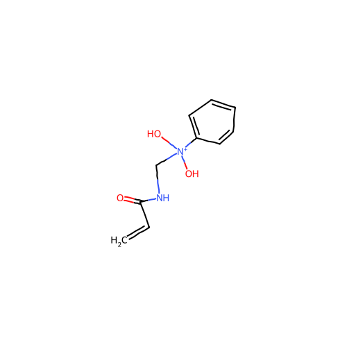 C=CC(=O)NC[N+](O)(O)c1ccccc1